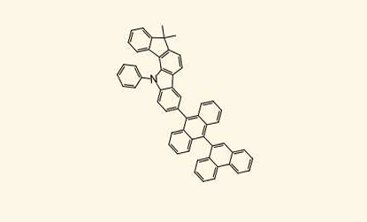 CC1(C)c2ccccc2-c2c1ccc1c3cc(-c4c5ccccc5c(-c5cc6ccccc6c6ccccc56)c5ccccc45)ccc3n(-c3ccccc3)c21